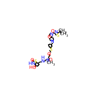 CC(C)C1=NC(C(=O)N2CCOC3(CCN(Cc4cccc(SCCOCCC(=O)N(C)CCNCCc5ccc(O)c6[nH]c(=O)sc56)c4)CC3)C2)CS1